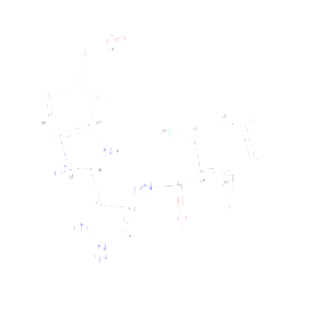 O=C(Nc1c[nH]nc1-c1nc2cc(CO)ccc2[nH]1)c1c(F)cccc1F